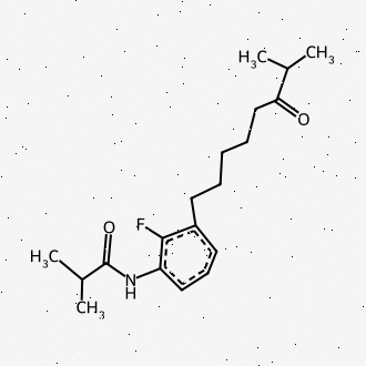 CC(C)C(=O)CCCCCc1cccc(NC(=O)C(C)C)c1F